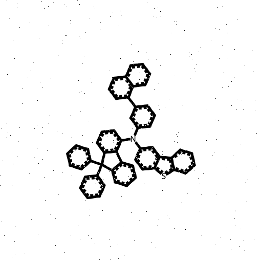 c1ccc(C2(c3ccccc3)c3ccccc3-c3c(N(c4cccc(-c5cccc6ccccc56)c4)c4ccc5sc6ccccc6c5c4)cccc32)cc1